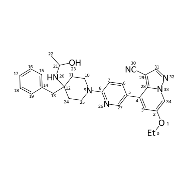 CCOc1cc(-c2ccc(N3CCC(Cc4ccccc4)(NC(C)O)CC3)nc2)c2c(C#N)cnn2c1